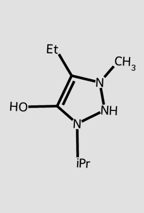 CCC1=C(O)N(C(C)C)NN1C